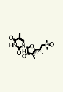 Cc1cn([C@@H]2O[C@H]([C@@H](C)CP(C)(C)=O)[C@@H](C)[C@@H]2O)c(=O)[nH]c1=O